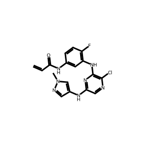 C=CC(=O)Nc1ccc(F)c(Nc2nc(Nc3cnn(C)c3)cnc2Cl)c1